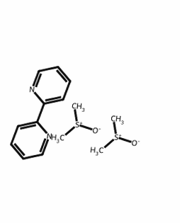 C[S+](C)[O-].C[S+](C)[O-].c1ccc(-c2ccccn2)nc1